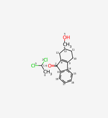 CC(Cl)Cl.CO.O=C1C2=C(CCCC2)c2ccccc21